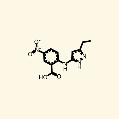 CCc1cc(Nc2ccc([N+](=O)[O-])cc2C(=O)O)[nH]n1